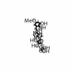 COc1cc(O)c(O)c(CNc2ncnc3c2ncn3[C@@H]2O[C@H](COP(=O)(O)O)[C@@H](O)[C@H]2O)c1